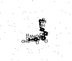 COc1cc(Cn2ncc3c(-c4cccc(-c5ccc(CNCC6CCC(=O)N6)cc5)c4Cl)cc(Cl)cc32)c(Cl)cc1CNC(C=O)CO